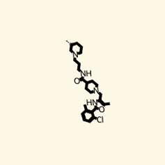 CC1=C(CN2CCC(C(=O)NCCCN3CCC[C@@H](C)C3)CC2)NC(c2c(C)cccc2Cl)O1